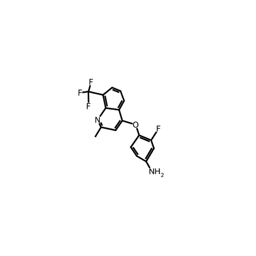 Cc1cc(Oc2ccc(N)cc2F)c2cccc(C(F)(F)F)c2n1